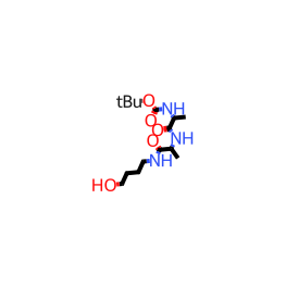 CC(NC(=O)OC(C)(C)C)C(=O)NC(C)C(=O)NCCCCO